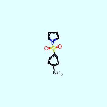 O=[N+]([O-])c1ccc(S(=O)(=O)n2c[c]cc2)cc1